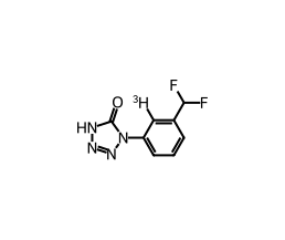 [3H]c1c(C(F)F)cccc1-n1nn[nH]c1=O